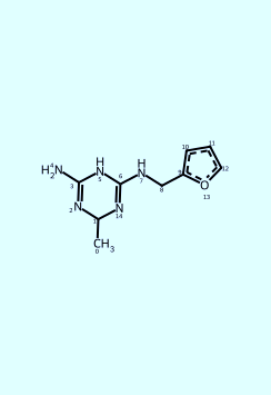 CC1N=C(N)NC(NCc2ccco2)=N1